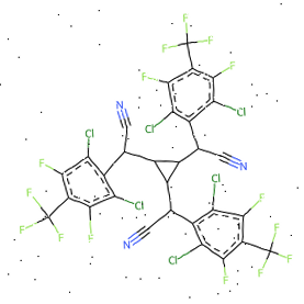 N#CC(c1c(Cl)c(F)c(C(F)(F)F)c(F)c1Cl)C1C(C(C#N)c2c(Cl)c(F)c(C(F)(F)F)c(F)c2Cl)C1C(C#N)c1c(Cl)c(F)c(C(F)(F)F)c(F)c1Cl